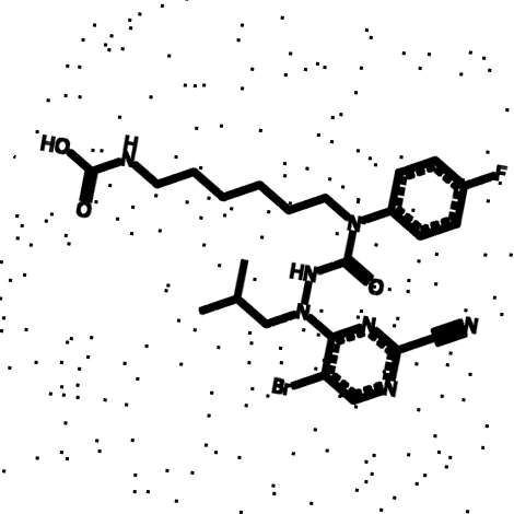 CC(C)CN(NC(=O)N(CCCCCCNC(=O)O)c1ccc(F)cc1)c1nc(C#N)ncc1Br